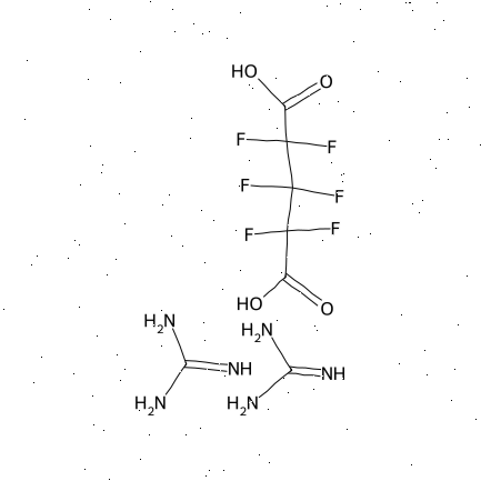 N=C(N)N.N=C(N)N.O=C(O)C(F)(F)C(F)(F)C(F)(F)C(=O)O